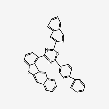 c1ccc(-c2ccc(-c3nc(-c4ccc5ccccc5c4)nc(-c4cccc5sc6cc7ccccc7cc6c45)n3)cc2)cc1